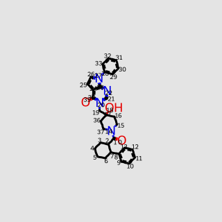 O=C(C1CCCCC1c1ccccc1)N1CCC(O)(Cn2cnc3c(ccn3-c3ccccc3)c2=O)CC1